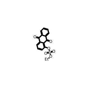 CCOS(=O)(=O)Oc1cccc2c1C(=O)c1ccccc1C2=O